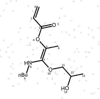 C=CC(=O)OC(C)=C(NCCCC)OCC(C)O